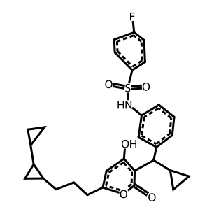 O=c1oc(CCCC2CC2C2CC2)cc(O)c1C(c1cccc(NS(=O)(=O)c2ccc(F)cc2)c1)C1CC1